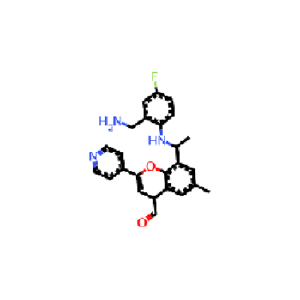 Cc1cc2c(c(C(C)Nc3ccc(F)cc3CN)c1)OC(c1ccncc1)=CC2C=O